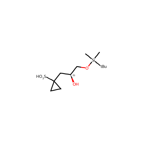 CC(C)(C)[Si](C)(C)OC[C@@H](O)CC1(S(=O)(=O)O)CC1